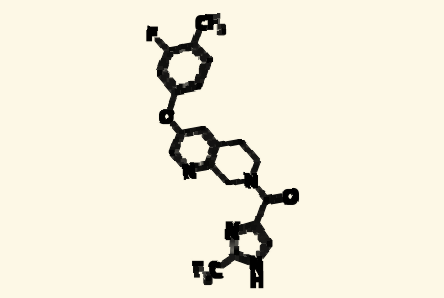 O=C(c1c[nH]c(C(F)(F)F)n1)N1CCc2cc(Oc3ccc(C(F)(F)F)c(F)c3)cnc2C1